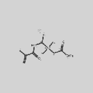 C=C(C)C(=O)NC(CC)[N+](C)(C)CC(=O)OC.[Cl-]